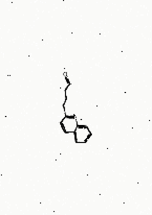 O=CCCCc1ccc2ccccc2n1